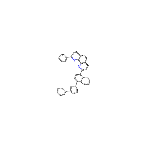 c1ccc(-c2cccc(-c3ccc(-c4ccc5ccc6ccc(-c7ccccc7)nc6c5n4)c4ccccc34)c2)cc1